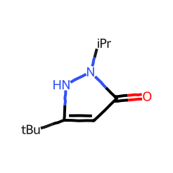 CC(C)n1[nH]c(C(C)(C)C)cc1=O